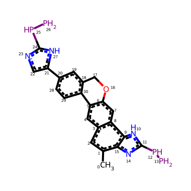 Cc1cc2cc3c(cc2c2[nH]c(PP)nc12)OCc1cc(-c2cnc(PP)[nH]2)ccc1-3